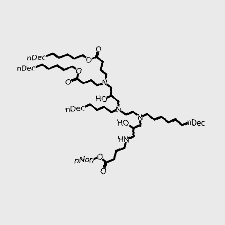 CCCCCCCCCCCCCCCCN(CCN(CCCCCCCCCCCCCC)CC(O)CN(CCCC(=O)OCCCCCCCCCCCCCCC)CCCC(=O)OCCCCCCCCCCCCCCC)CC(O)CNCCCC(=O)OCCCCCCCCC